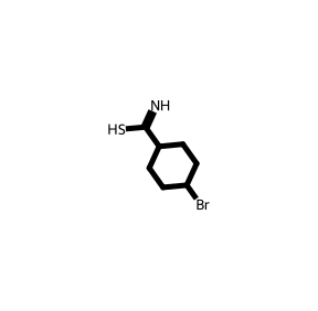 N=C(S)C1CCC(Br)CC1